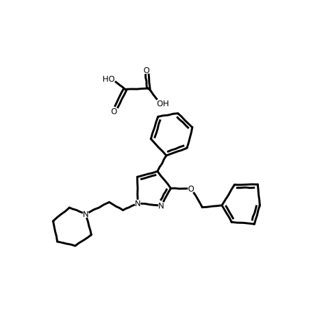 O=C(O)C(=O)O.c1ccc(COc2nn(CCN3CCCCC3)cc2-c2ccccc2)cc1